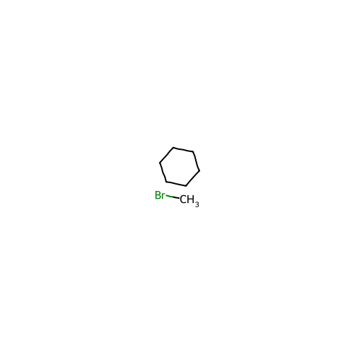 C1CCCCC1.CBr